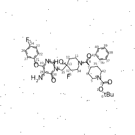 CC(C)(C)OC(=O)N1CC[C@@H](C(=O)N2CCC(O)(Cn3cnc(Oc4ccc(F)cc4)c(N)c3=O)[C@@H](F)C2)[C@H](c2ccccc2)C1